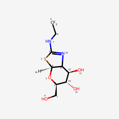 OC[C@H]1O[C@H]2SC(NCC(F)(F)F)=NC2[C@@H](O)[C@@H]1O